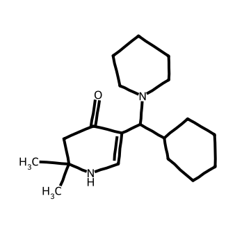 CC1(C)CC(=O)C(C(C2CCCCC2)N2CCCCC2)=CN1